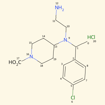 CC(c1ccc(Cl)cc1)N(CCN)C1CCN(C(=O)O)CC1.Cl